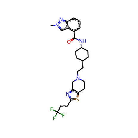 Cn1cc2c(C(=O)N[C@H]3CC[C@H](CCN4CCc5sc(CCC(F)(F)F)nc5C4)CC3)cccc2n1